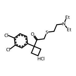 CCN(CC)CCSCC(=O)C1(c2ccc(Cl)c(Cl)c2)CCC1.Cl